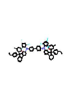 C=Cc1ccc(C2(c3cc(C)ccc3C)c3ccccc3-c3ccc(N(c4ccc(-c5ccc(N(c6ccc7c(c6)C(C6=CCC(C=C)C=C6)(c6cc(C)ccc6C)c6ccccc6-7)c6c(F)cc(F)cc6F)cc5)cc4)c4c(F)cc(F)cc4F)cc32)cc1